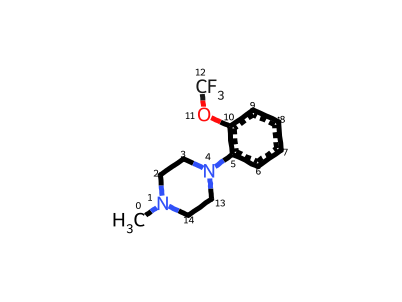 CN1CCN(c2cc[c]cc2OC(F)(F)F)CC1